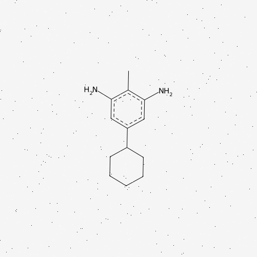 Cc1c(N)cc(C2CCCCC2)cc1N